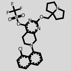 O=S(=O)(Oc1nc(OCC23CCCN2CCC3)nc2c1CCN(c1cccc3cccc(Cl)c13)C2)C(F)(F)F